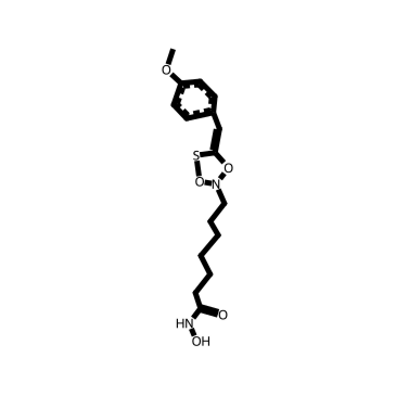 COc1ccc(/C=C2/ON(CCCCCCC(=O)NO)OS2)cc1